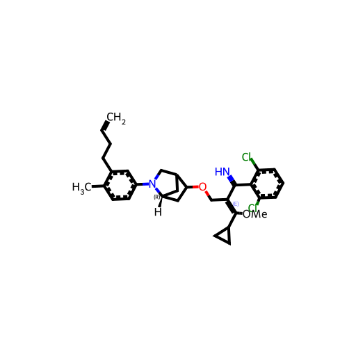 C=CCCc1cc(N2CC3C[C@@H]2CC3OC/C(C(=N)c2c(Cl)cccc2Cl)=C(/OC)C2CC2)ccc1C